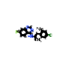 CC(Cc1ccc(Cl)cc1C(F)(F)F)Nc1ncnc2cc(F)ccc12